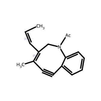 C/C=C\C1=C(/C)C#Cc2ccccc2N(C(C)=O)C1